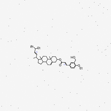 CCOc1ccc(/C=C/C(=O)OC2CCC3(C)C(=CCC4C3CCC3(C)C(C(C)/C=C/C(CC)C(C)C)CCC43)C2)cc1CO